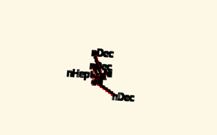 CCCCCCCC=CC1=C(c2ccccc2CCC=CCCCCCCCCCCCCCCCCCCC)[N+](=[N-])C(c2ccccc2CCC=CCCCCCCCCCCCCCCCCCCC)=C1CCCCCCCCCCCCCCCC.[Ni]